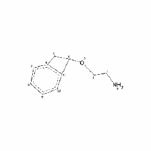 NCCOC1Cc2ccccc21